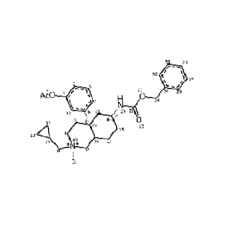 CC(=O)Oc1cccc([C@@]23CC[N@+](C)(CC4CC4)CC2CC[C@@H](NC(=O)OCc2ccccc2)C3)c1